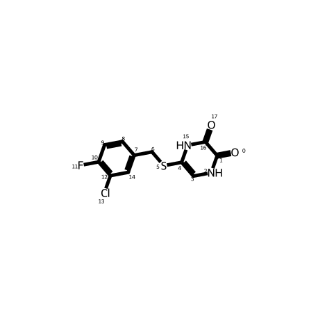 O=c1[nH]cc(SCc2ccc(F)c(Cl)c2)[nH]c1=O